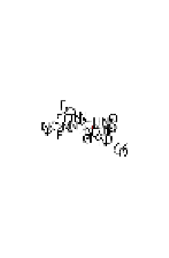 C[C@H]1c2c(nn(-c3ccc(F)c(C4CC4)c3)c2-n2ccn(-c3ccc4c(cnn4C)c3F)c2=O)CCN1C(=O)c1cn2cc([C@H]3CCOC(C)(C)C3)cc(F)c2c1C1(c2noc(=O)[nH]2)CC1